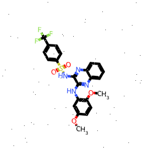 COc1ccc(OC)c(Nc2nc3ccccc3nc2NS(=O)(=O)c2ccc(C(F)(F)F)cc2)c1